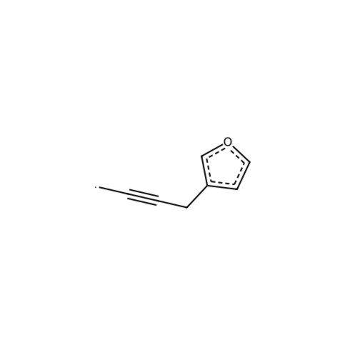 [CH2]C#CCc1ccoc1